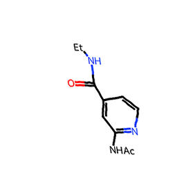 CCNC(=O)c1ccnc(NC(C)=O)c1